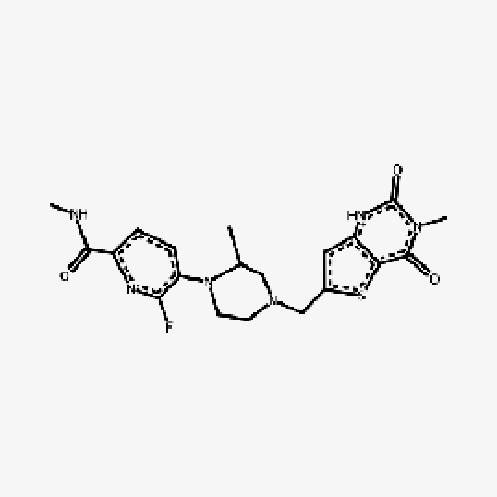 CNC(=O)c1ccc(N2CCN(Cc3cc4[nH]c(=O)n(C)c(=O)c4s3)CC2C)c(F)n1